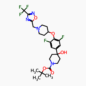 CC(C)(C)OC(=O)N1CCC(O)(c2cc(F)c(OC3CCN(Cc4nc(C(F)(F)F)no4)CC3)c(F)c2)CC1